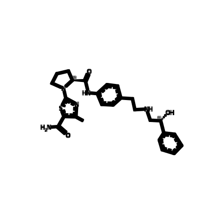 Cc1nc(N2CCC[C@H]2C(=O)Nc2ccc(CCNC[C@H](O)c3ccccc3)cc2)sc1C(N)=O